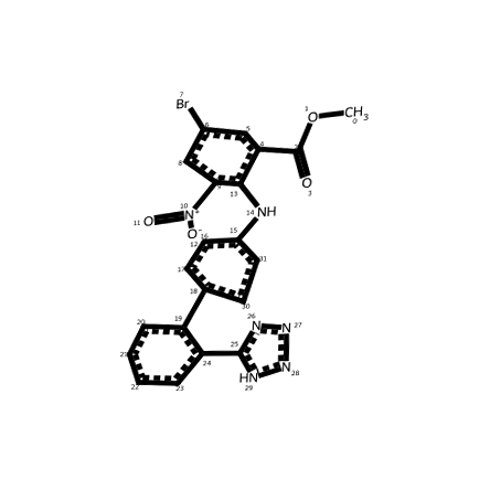 COC(=O)c1cc(Br)cc([N+](=O)[O-])c1Nc1ccc(-c2ccccc2-c2nnn[nH]2)cc1